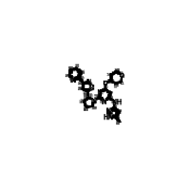 Cc1cc(Nc2cc(OC3CCOCC3)nc(N3CCC[C@H]3c3cc(-c4ccccn4)no3)n2)n[nH]1